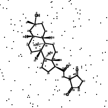 C[C@@]1(O)CC[C@H]2[C@H](CC[C@@H]3[C@@H]2CC[C@]2(C)[C@@H](C(=O)CN4C(=O)CSC4=O)CC[C@@H]32)C1